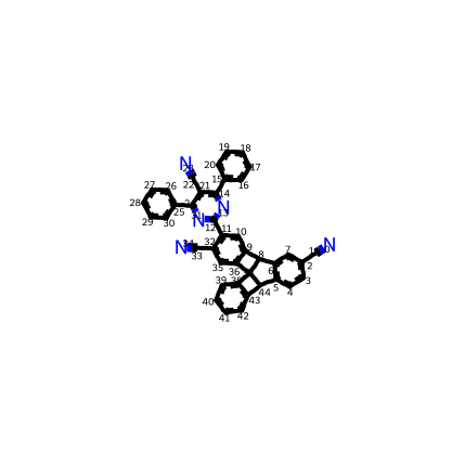 N#Cc1ccc2c(c1)C1c3cc(-c4nc(-c5ccccc5)c(C#N)c(-c5ccccc5)n4)c(C#N)cc3C13c1ccccc1C23